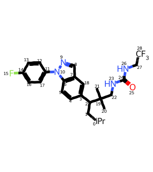 CC(C)CC(c1ccc2c(cnn2-c2ccc(F)cc2)c1)C(C)(C)CNC(=O)NCC(F)(F)F